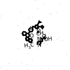 CCOc1cc(CN2CCC(C3C(=O)c4c(ccc5cc(C)ccc45)C4=C3CCC=C4)CC2)cc(C2CC2)c1C1CCC1.O=C(O)c1cnc2ccncc2c1